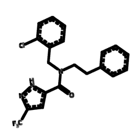 O=C(c1cc(C(F)(F)F)n[nH]1)N(CCc1ccccc1)Cc1ccccc1Cl